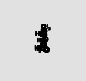 Cc1ccc2c(c1)NCC(C(=O)Nc1cc(O)c(C3(C)CCCCC3)cc1F)O2